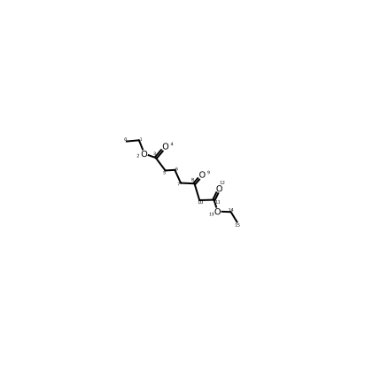 CCOC(=O)CCCC(=O)CC(=O)OCC